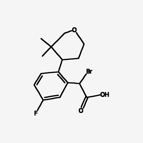 CC1(C)COCCC1c1ccc(F)cc1C(Br)C(=O)O